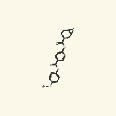 CCCOc1ccc(OC(=O)c2ccc(OC(=O)C3CCC4OC4C3)cc2)cc1